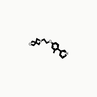 Cc1cc(OCCN2CC3(COC3)C2)ccc1-c1cccnc1